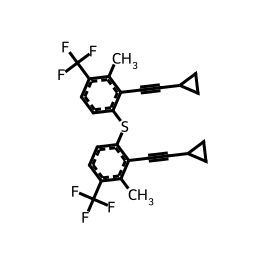 Cc1c(C(F)(F)F)ccc(Sc2ccc(C(F)(F)F)c(C)c2C#CC2CC2)c1C#CC1CC1